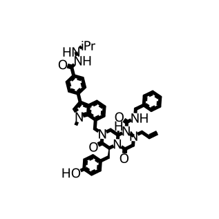 C=CCN1CC(=O)N2[C@@H](Cc3ccc(O)cc3)C(=O)N(Cc3cccc4c(-c5ccc(C(=O)NNC(C)C)cc5)cn(C)c34)C[C@@H]2N1C(=O)NCc1ccccc1